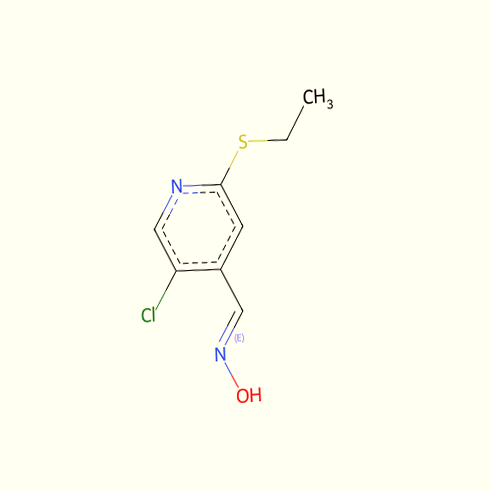 CCSc1cc(/C=N/O)c(Cl)cn1